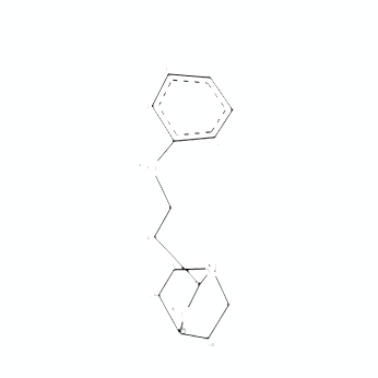 c1ccc(OCCC2CC3CC[N+]2CC3)cc1